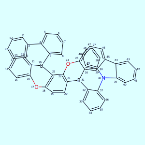 c1ccc(-c2ccccc2B2c3ccccc3Oc3ccc4c(c32)Oc2ccccc2B4c2ccccc2-n2c3ccccc3c3ccccc32)cc1